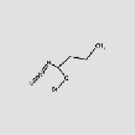 CCCC(N=[N+]=[N-])OBr